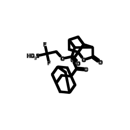 O=C(OCC(F)(F)S(=O)(=O)O)C1C2CC3C1C(=O)OC3(OC(=O)C13CC4CC(CC(C4)C1)C3)C2